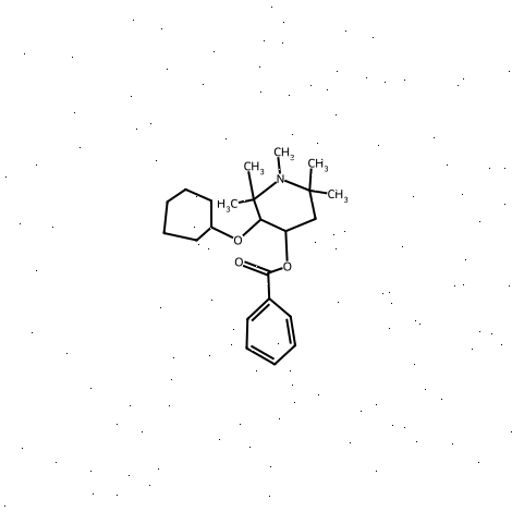 CN1C(C)(C)CC(OC(=O)c2ccccc2)C(OC2CCCCC2)C1(C)C